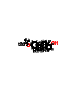 CC(C)(C)[Si](C)(C)OC1CC[C@@]2(C)[C@@H](CC[C@@H]3[C@@H]2CC[C@]2(C)[C@@H](O)CC[C@@H]32)C1